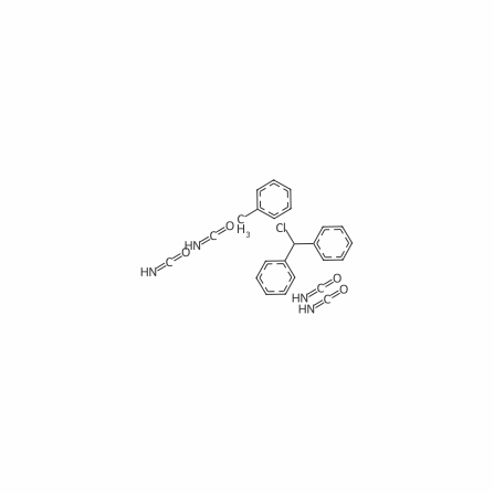 Cc1ccccc1.ClC(c1ccccc1)c1ccccc1.N=C=O.N=C=O.N=C=O.N=C=O